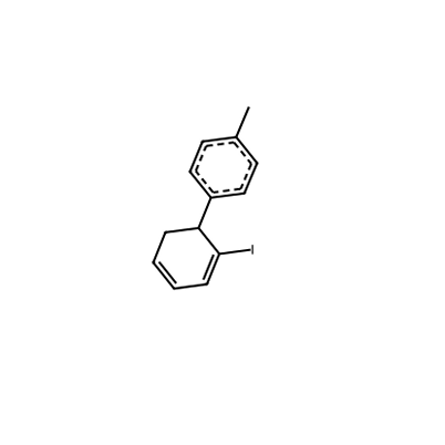 Cc1ccc(C2CC=CC=C2I)cc1